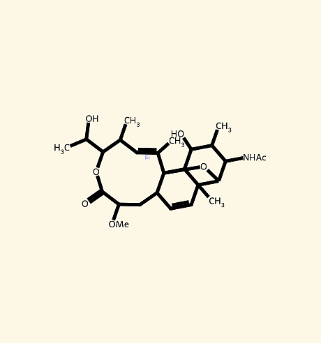 COC1CC2C=CC3(C)C4OC2(/C(C)=C/C(C)C(C(C)O)OC1=O)C3C(O)C(C)C4NC(C)=O